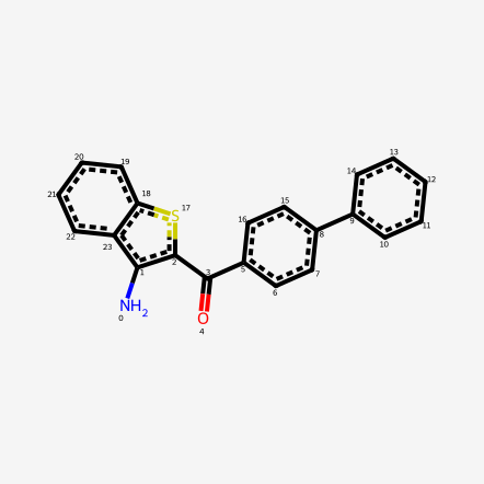 Nc1c(C(=O)c2ccc(-c3ccccc3)cc2)sc2ccccc12